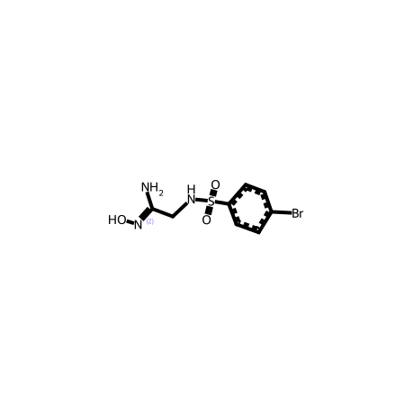 N/C(CNS(=O)(=O)c1ccc(Br)cc1)=N\O